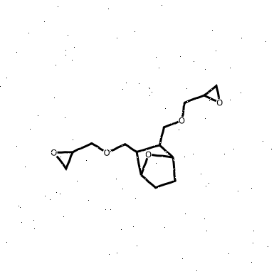 C(OCC1C2CCC(O2)C1COCC1CO1)C1CO1